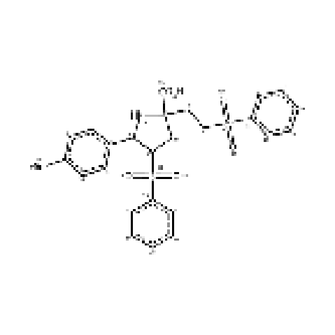 CC(C)(C)c1ccc(C2NC(CCS(=O)(=O)c3ccccc3)(C(=O)O)CC2S(=O)(=O)c2ccccc2)cc1